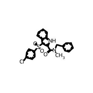 CN(Cc1ccccc1)C(=O)c1[nH]c2ccccc2c1S(=O)(=O)c1ccc(Cl)cc1